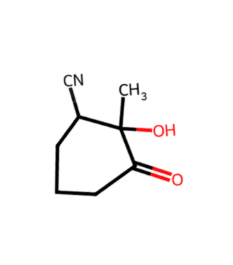 CC1(O)C(=O)CCCC1C#N